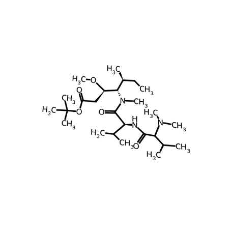 CC[C@H](C)[C@@H]([C@@H](CC(=O)OC(C)(C)C)OC)N(C)C(=O)[C@@H](NC(=O)C(C(C)C)N(C)C)C(C)C